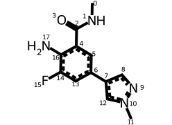 CNC(=O)c1cc(-c2cnn(C)c2)cc(F)c1N